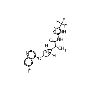 CC(C(=O)Nc1nnc(C(F)(F)F)[nH]1)C1[C@H]2CC(Oc3ccnc4ccc(F)cc34)C[C@@H]12